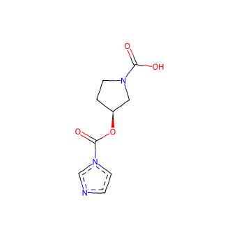 O=C(O)N1CC[C@H](OC(=O)n2ccnc2)C1